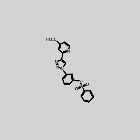 O=C(O)c1ccnc(-c2cn(-c3cccc(NS(=O)(=O)c4ccccc4)c3)nn2)c1